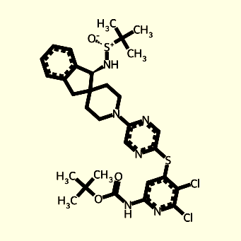 CC(C)(C)OC(=O)Nc1cc(Sc2cnc(N3CCC4(CC3)Cc3ccccc3[C@H]4N[S@+]([O-])C(C)(C)C)cn2)c(Cl)c(Cl)n1